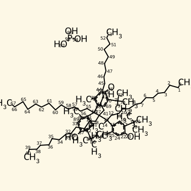 CCCCCCCCCCCCCC(C)(c1cc(C(C)(C)C)c(O)cc1C)C(CCCCCCCCCCCCC)(CCCCCCCCCCCCC)C(CCCCCCCCCCCCC)(c1cc(C(C)(C)C)c(O)cc1C)c1cc(C(C)(C)C)c(O)cc1C.OP(O)O